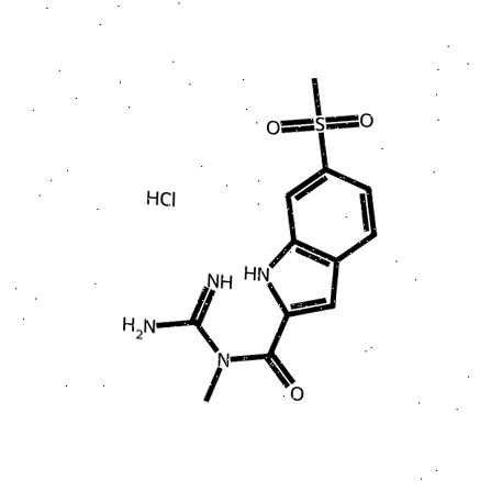 CN(C(=N)N)C(=O)c1cc2ccc(S(C)(=O)=O)cc2[nH]1.Cl